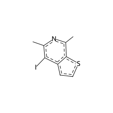 Cc1nc(C)c2sccc2c1I